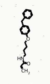 C=CC(=O)NCCCCOc1ccc(Cc2ccccc2)cc1